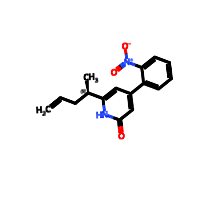 C=CC[C@@H](C)c1cc(-c2ccccc2[N+](=O)[O-])cc(=O)[nH]1